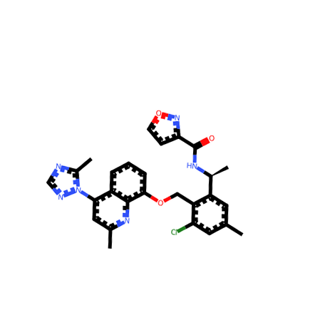 Cc1cc(Cl)c(COc2cccc3c(-n4ncnc4C)cc(C)nc23)c([C@H](C)NC(=O)c2ccon2)c1